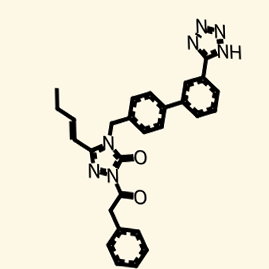 CCC=Cc1nn(C(=O)Cc2ccccc2)c(=O)n1Cc1ccc(-c2cccc(-c3nnn[nH]3)c2)cc1